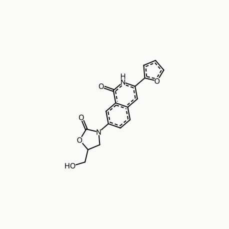 O=C1OC(CO)CN1c1ccc2cc(-c3ccco3)[nH]c(=O)c2c1